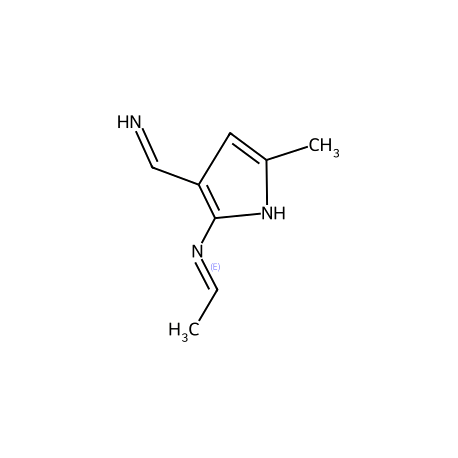 C/C=N/c1[nH]c(C)cc1C=N